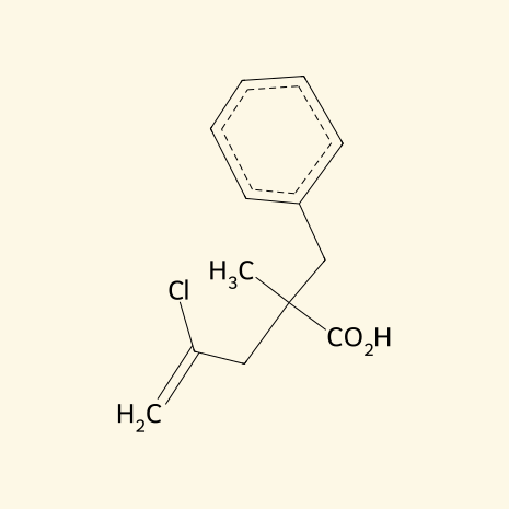 C=C(Cl)CC(C)(Cc1ccccc1)C(=O)O